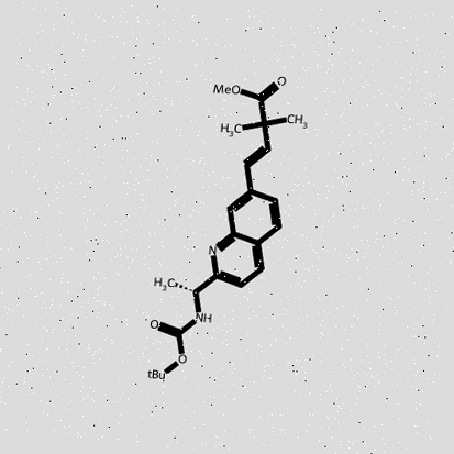 COC(=O)C(C)(C)/C=C/c1ccc2ccc([C@@H](C)NC(=O)OC(C)(C)C)nc2c1